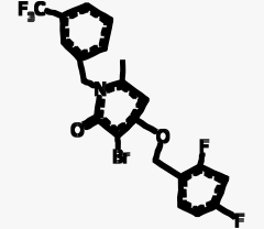 Cc1cc(OCc2ccc(F)cc2F)c(Br)c(=O)n1Cc1cccc(C(F)(F)F)c1